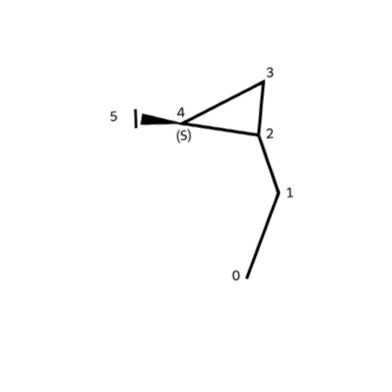 CCC1C[C@@H]1I